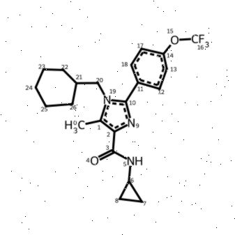 Cc1c(C(=O)NC2CC2)nc(-c2ccc(OC(F)(F)F)cc2)n1CC1CCCCC1